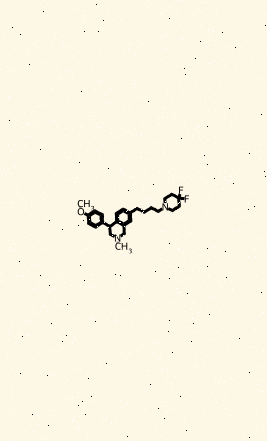 COc1ccc(C2CN(C)Cc3cc(CCCCN4CCC(F)(F)CC4)ccc32)cc1